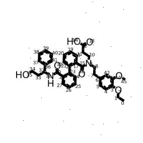 CCOc1ccc(CCN(CCC(=O)O)C(=O)c2ccccc2-c2ccccc2C(=O)NC(CCO)c2ccccc2)cc1OC